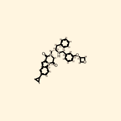 O=C1c2cc3cc(C4CC4)ccc3n2C(=O)CN1C[C@H](Cc1ccccc1)NCc1cccc(OC2COC2)c1